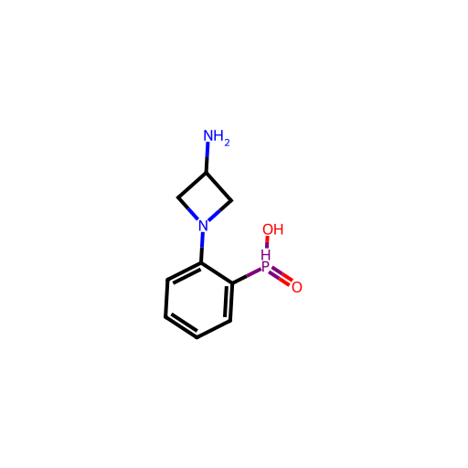 NC1CN(c2ccccc2[PH](=O)O)C1